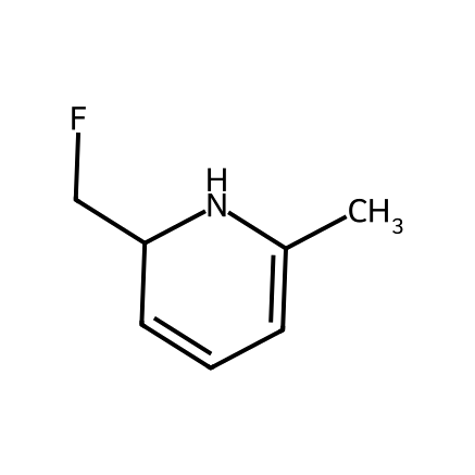 CC1=CC=CC(CF)N1